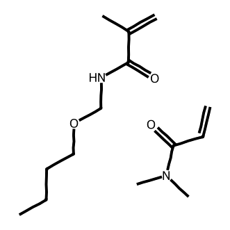 C=C(C)C(=O)NCOCCCC.C=CC(=O)N(C)C